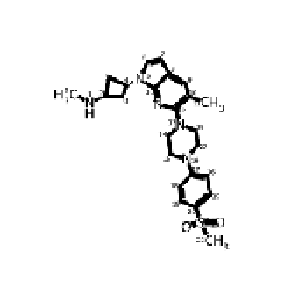 CN[C@H]1C[C@H](n2ccc3cc(C)c(N4CCN(c5ccc(S(C)(=O)=O)cc5)CC4)nc32)C1